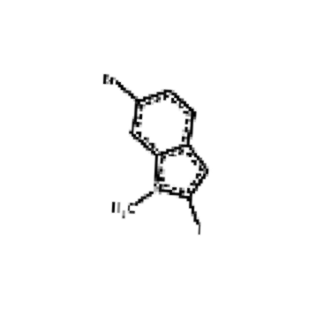 Cn1c(I)cc2ccc(Br)cc21